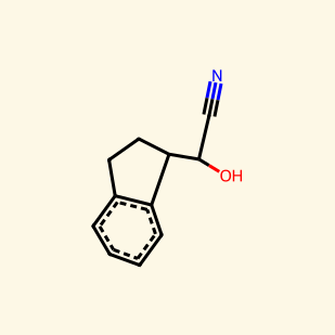 N#CC(O)C1CCc2ccccc21